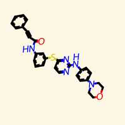 O=C(C#Cc1ccccc1)Nc1cccc(Sc2ccnc(Nc3ccc(N4CCOCC4)cc3)n2)c1